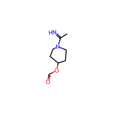 CC(=N)N1CCC(OC=O)CC1